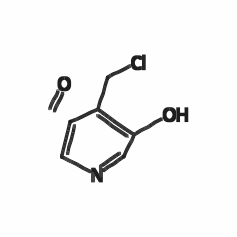 C=O.Oc1cnccc1CCl